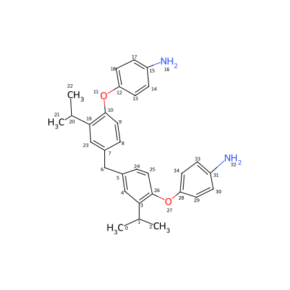 CC(C)c1cc(Cc2ccc(Oc3ccc(N)cc3)c(C(C)C)c2)ccc1Oc1ccc(N)cc1